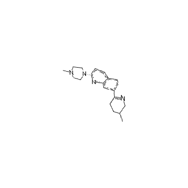 CC1CCC(c2ccc3ccc(N4CCN(C)CC4)nc3c2)=NC1